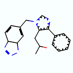 CC(O)Cc1c(-c2ccccc2)ncn1CC1=CC2NN=NC2C=C1